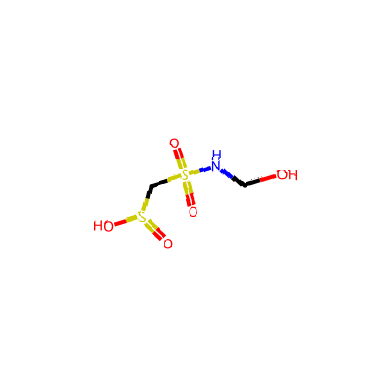 O=S(O)CS(=O)(=O)NCO